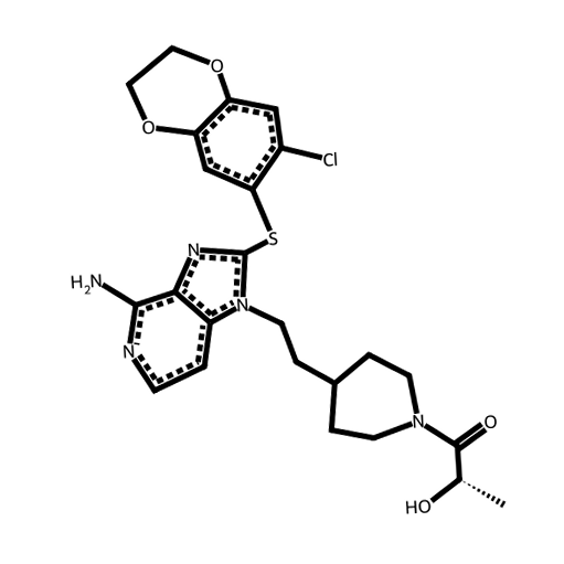 C[C@H](O)C(=O)N1CCC(CCn2c(Sc3cc4c(cc3Cl)OCCO4)nc3c(N)nccc32)CC1